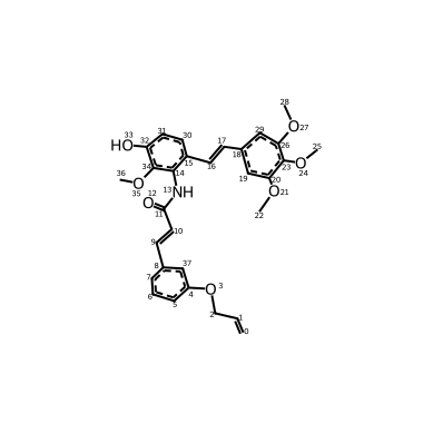 C=CCOc1cccc(/C=C/C(=O)Nc2c(/C=C/c3cc(OC)c(OC)c(OC)c3)ccc(O)c2OC)c1